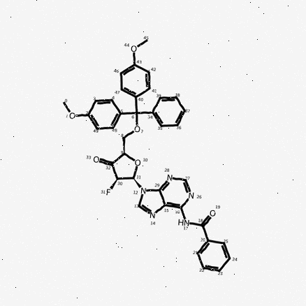 COc1ccc(C(OC[C@H]2O[C@@H](n3cnc4c(NC(=O)c5ccccc5)ncnc43)[C@@H](F)C2=O)(c2ccccc2)c2ccc(OC)cc2)cc1